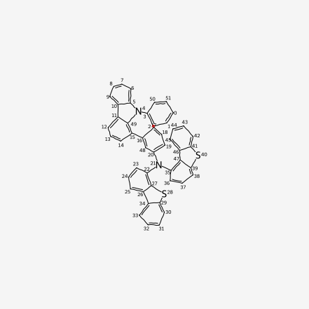 c1ccc(-n2c3ccccc3c3cccc(-c4cccc(N(c5cccc6c5sc5ccccc56)c5cccc6sc7ccccc7c56)c4)c32)cc1